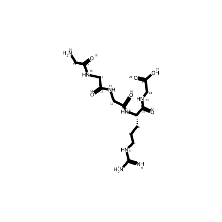 N=C(N)NCCC[C@H](NC(=O)CNC(=O)CNC(=O)CN)C(=O)NCC(=O)O